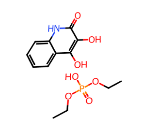 CCOP(=O)(O)OCC.O=c1[nH]c2ccccc2c(O)c1O